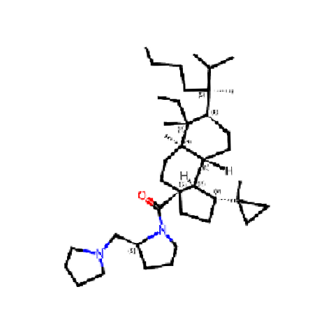 CCCC[C@@](C)(C(C)C)[C@H]1CC[C@@H]2[C@H]3[C@H](C4(C)CC4)CC[C@]3(C(=O)N3CCC[C@H]3CN3CCCC3)CC[C@@]2(C)[C@]1(C)CC